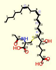 CCCCC/C=C\C\C=C/C=C/C=C/[C@@H](SC[C@H](NC(C)=O)C(=O)O)[C@@H](O)CCCC(=O)O